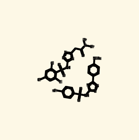 CC(C)N(C(=O)Cc1nsc(NS(=O)(=O)c2c(Cl)cc(Cl)cc2Cl)n1)C(C)C.CCCc1ccc(S(=O)(=O)Nc2nc(-c3ccc(NC(C)=O)cc3)ns2)cc1